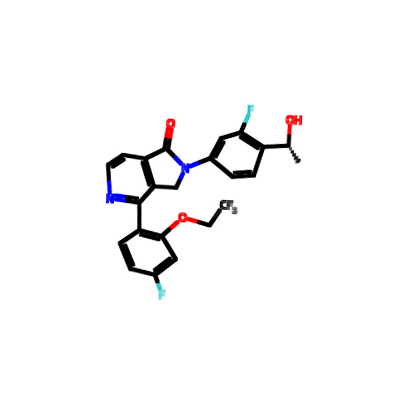 C[C@@H](O)c1ccc(N2Cc3c(ccnc3-c3ccc(F)cc3OCC(F)(F)F)C2=O)cc1F